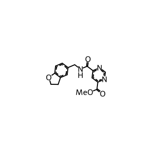 COC(=O)c1cc(C(=O)NCc2ccc3c(c2)CCO3)ncn1